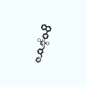 O=C1CN(Cc2cccc(CN3CCCC3)c2)C(=O)N1c1ccc(-c2cccc3ccccc23)cc1